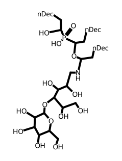 CCCCCCCCCCCC(NCC(O)C(O)C(OC1OC(CO)C(O)C(O)C1O)C(O)CO)OC(CCCCCCCCCCC)P(=O)(O)C(O)CCCCCCCCCCC